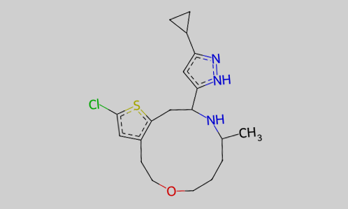 CC1CCCOCCc2cc(Cl)sc2CC(c2cc(C3CC3)n[nH]2)N1